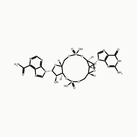 NC(=O)c1ncnc2c1ncn2[C@@H]1O[C@@H]2COP(=O)(O)O[C@@H]3[C@H](O)[C@@H](COP(=O)(O)O[C@H]2[C@H]1O)O[C@H]3n1cnc2c(=O)[nH]c(N)nc21